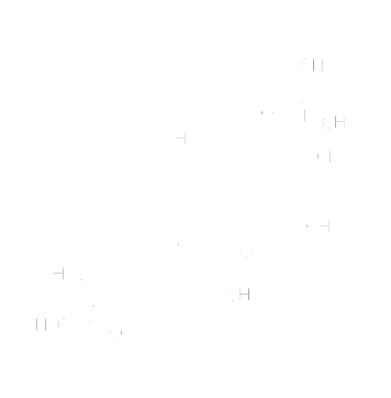 Cc1c(C)c2c(c(C)c1O[SiH](C)C)CC[C@](C)(CCC1OC1(C)C)O2